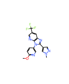 COc1ccc(-n2c(-c3cnn(C)c3)nc3cc(C(F)(F)F)cnc32)cn1